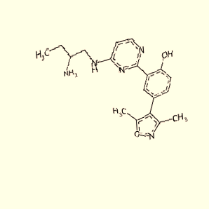 CCC(N)CNc1ccnc(-c2cc(-c3c(C)noc3C)ccc2O)n1